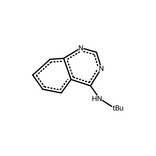 CC(C)(C)Nc1ncnc2ccccc12